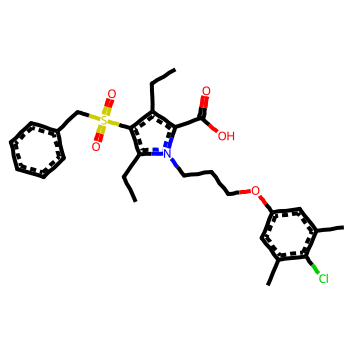 CCc1c(S(=O)(=O)Cc2ccccc2)c(CC)n(CCCOc2cc(C)c(Cl)c(C)c2)c1C(=O)O